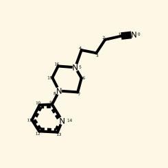 N#CCCCN1CCN(c2ccccn2)CC1